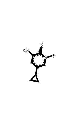 CC(C)n1cc(C2CC2)cc([N+](=O)[O-])c1=O